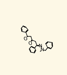 CN(Cc1ccccc1)N=C(CC(=O)CC(=O)c1ccccc1)c1ccccc1